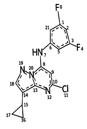 Fc1cc(F)cc(Nc2cc(Cl)nc3c(C4CC4)cnn23)c1